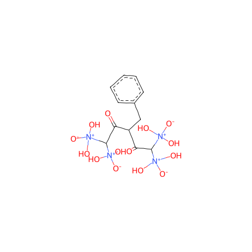 O=C(C(Cc1ccccc1)C(=O)C([N+]([O-])(O)O)[N+]([O-])(O)O)C([N+]([O-])(O)O)[N+]([O-])(O)O